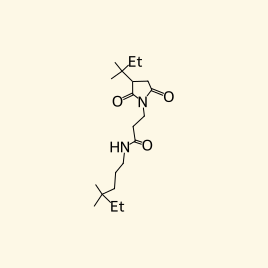 CCC(C)(C)CCCNC(=O)CCN1C(=O)CC(C(C)(C)CC)C1=O